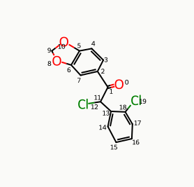 O=C(c1ccc2c(c1)OCO2)C(Cl)c1ccccc1Cl